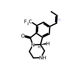 C/C=C\c1cc2c(c(C(F)(F)F)c1)C(=O)N1CCNC[C@@H]21